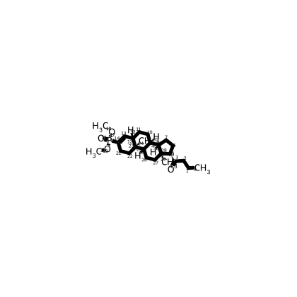 CCCC(=O)[C@H]1CC[C@H]2[C@@H]3CC[C@H]4C=C(P(=O)(OC)OC)CC[C@]4(C)[C@H]3CC[C@]12C